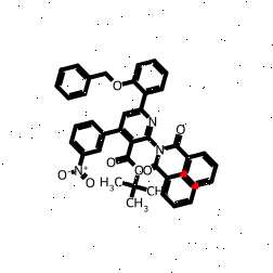 CC(C)(C)OC(=O)c1c(-c2cccc([N+](=O)[O-])c2)cc(-c2ccccc2OCc2ccccc2)nc1N(C(=O)c1ccccc1)C(=O)c1ccccc1